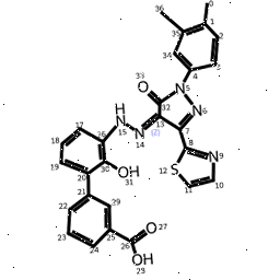 Cc1ccc(N2N=C(c3nccs3)/C(=N/Nc3cccc(-c4cccc(C(=O)O)c4)c3O)C2=O)cc1C